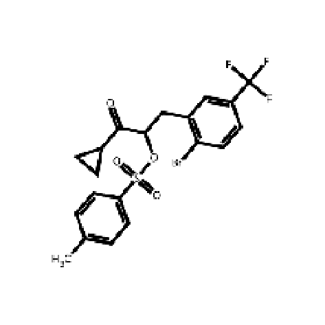 Cc1ccc(S(=O)(=O)OC(Cc2cc(C(F)(F)F)ccc2Br)C(=O)C2CC2)cc1